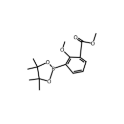 COC(=O)c1cccc(B2OC(C)(C)C(C)(C)O2)c1OC